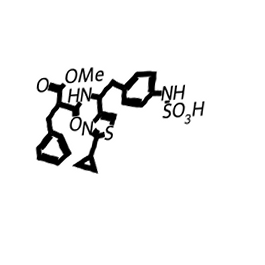 COC(=O)C(Cc1ccccc1)C(=O)NC(Cc1ccc(NS(=O)(=O)O)cc1)c1csc(C2CC2)n1